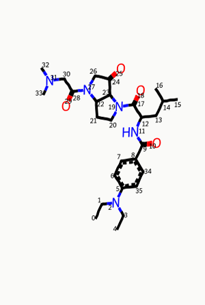 CCN(CC)c1ccc(C(=O)NC(CC(C)C)C(=O)N2CCC3C2C(=O)CN3C(=O)CN(C)C)cc1